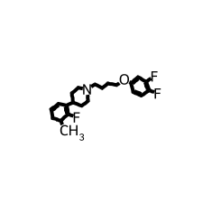 C[C]1CC=CC(C2CCN(CCCCOc3ccc(F)c(F)c3)CC2)=C1F